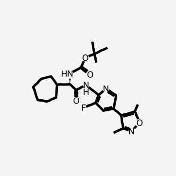 Cc1noc(C)c1-c1cnc(NC(=O)[C@@H](NC(=O)OC(C)(C)C)C2CCCCCC2)c(F)c1